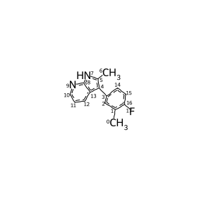 Cc1cc(-c2c(C)[nH]c3ncccc23)ccc1F